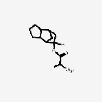 CC(C(=O)O)C(=O)OC1(C(C)C)CC2CC1C1CCCC21